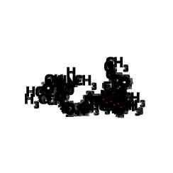 CCNC(=O)c1nnc(-c2cc(C(C)C)c(O)cc2O)n1-c1ccc(CN2CCC(CN3CCN(CC4(COc5nc(N6CC7CCC(C6)N7C(=O)OC(C)(C)C)c6cnc(-c7cc(OCOC)cc8cccc(C#C[Si](C(C)C)(C(C)C)C(C)C)c78)c(F)c6n5)CC4)CC3)CC2)cc1